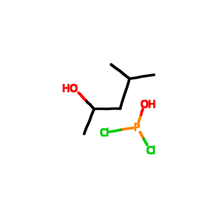 CC(C)CC(C)O.OP(Cl)Cl